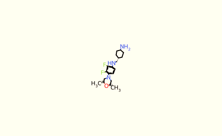 C[C@@H]1CN(c2ccc(NC[C@H]3CC[C@H](N)CC3)c(F)c2F)C[C@H](C)O1